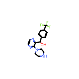 OC(c1ccc(C(F)(F)F)cc1)c1nccnc1N1CCNCC1